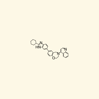 c1ccc2c(N3CCOc4ccc(-c5ccc6nc(C7CCCCC7)[nH]c6c5)cc4C3)ccnc2c1